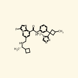 CC1CC(c2cccc(NC(=O)c3cc(CN[C@@H](C)C4CCC4)cn4c(F)cnc34)c2)(c2nncn2C)C1